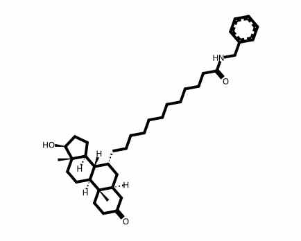 C[C@]12CCC(=O)C[C@@H]1C[C@@H](CCCCCCCCCCCC(=O)NCc1ccccc1)[C@@H]1[C@@H]2CC[C@]2(C)[C@@H](O)CC[C@@H]12